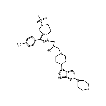 CS(=O)(=O)N1CCc2c(c(-c3ccc(C(F)(F)F)cc3)nn2CC(O)CN2CCC(c3c[nH]c4nc(N5CCOCC5)ccc34)CC2)C1